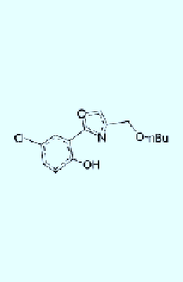 CCCCOCc1coc(-c2cc(Cl)ccc2O)n1